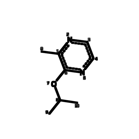 Cc1nccnc1OC(C)C